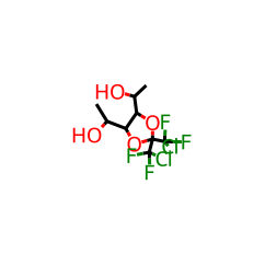 CC(O)C1OC(C(F)(F)Cl)(C(F)(F)Cl)OC1C(C)O